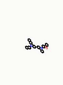 c1ccc2cc(-n3c4ccc(-c5ccc6c(c5)c5ccccc5n6-c5ccc6c(c5)oc5ccccc56)cc4c4cc5ccccc5cc43)ccc2c1